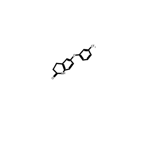 O=C1CCc2cc(Oc3cccc(C(F)(F)F)c3)ccc2N1